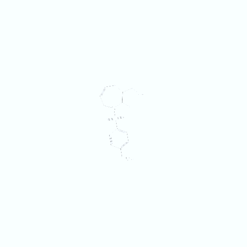 COc1ccc(S(=O)(=O)N2CC=CCC(CO)C2C(=O)O)cc1